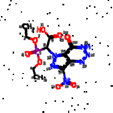 CCOP(=O)(OCC)C(C(=O)O)n1nc([N+](=O)[O-])c2nn[nH]c(=O)c21